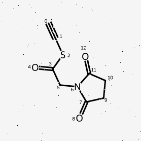 C#CSC(=O)CN1C(=O)CCC1=O